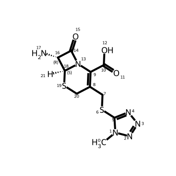 Cn1nnnc1SCC1=C(C(=O)O)N2C(=O)[C@@H](N)[C@@H]2SC1